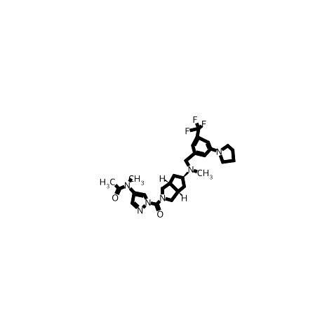 CC(=O)N(C)c1cnn(C(=O)N2C[C@H]3C[C@@H](N(C)Cc4cc(N5CCCC5)cc(C(F)(F)F)c4)C[C@H]3C2)c1